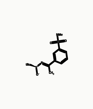 CNS(=O)(=O)c1cccc(/C(C)=N/[S@@+]([O-])C(C)(C)C)c1